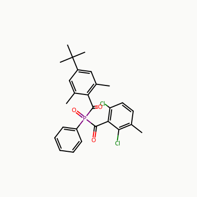 Cc1ccc(Cl)c(C(=O)P(=O)(C(=O)c2c(C)cc(C(C)(C)C)cc2C)c2ccccc2)c1Cl